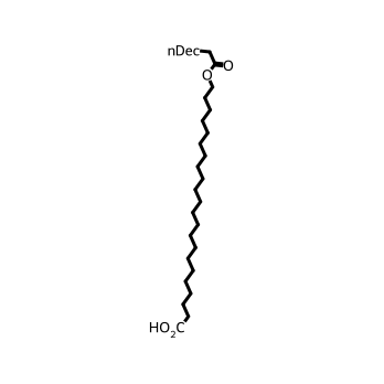 CCCCCCCCCCCC(=O)OCCCCCCCCCCCCCCCCCCCCCC(=O)O